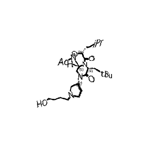 CC(=O)N1O[C@H](CC(C)C)C(=O)N2[C@@H]1CN([C@@H]1CCN(CCCCO)C1)C(=O)[C@@H]2CC(C)(C)C